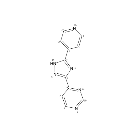 c1cc(-c2nc(-c3ccncn3)n[nH]2)ccn1